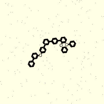 c1ccc(Oc2cccc(-c3ccc(-c4cccc(-c5ccc(Oc6cccc(-c7ccccc7)c6)cc5)c4)cc3)c2Oc2ccccc2)cc1